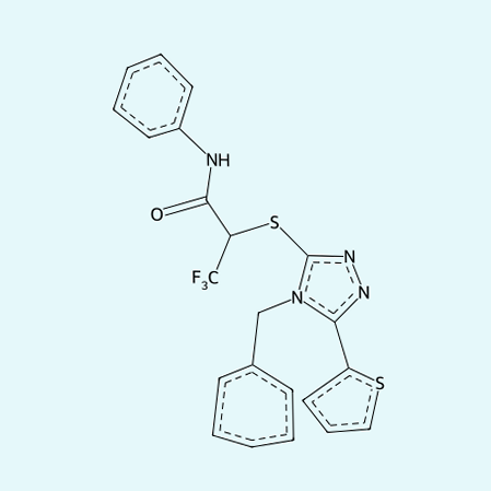 O=C(Nc1ccccc1)C(Sc1nnc(-c2cccs2)n1Cc1ccccc1)C(F)(F)F